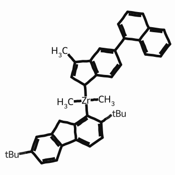 CC1=C[CH]([Zr]([CH3])([CH3])[c]2c(C(C)(C)C)ccc3c2Cc2cc(C(C)(C)C)ccc2-3)c2ccc(-c3cccc4ccccc34)cc21